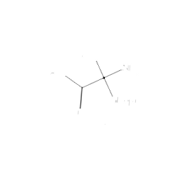 CCCCCCCC(CCC)C(N)(CCCCCCC)CCCCCCC.O